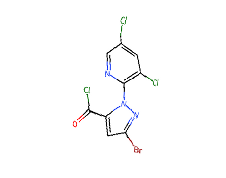 O=C(Cl)c1cc(Br)nn1-c1ncc(Cl)cc1Cl